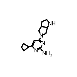 Nc1nc(C2CCC2)cc(N2CC3CCNC3C2)n1